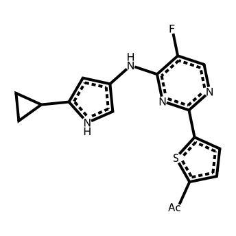 CC(=O)c1ccc(-c2ncc(F)c(Nc3c[nH]c(C4CC4)c3)n2)s1